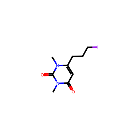 Cn1c(CCCI)cc(=O)n(C)c1=O